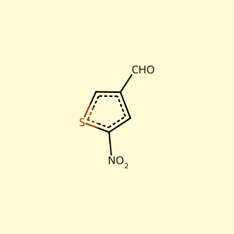 O=Cc1csc([N+](=O)[O-])c1